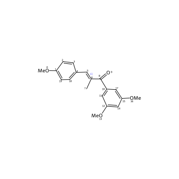 COc1ccc(/C=C(\C)C(=O)c2cc(OC)cc(OC)c2)cc1